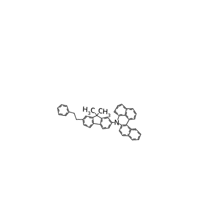 CC1(C)c2cc(CCc3ccccc3)ccc2-c2ccc(N3c4ccc5ccccc5c4-c4cccc5cccc3c45)cc21